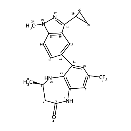 C[C@@H]1CC(=O)Nc2cc(C(F)(F)F)cc(-c3ccc4c(c3)c(C3CC3)nn4C)c2N1